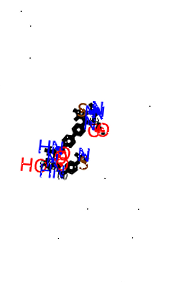 COC(=O)C[C@@H]1N=C(c2ccc(-c3ccc(C(=O)NC(C(=O)N4C[C@H](O)C[C@H]4C(=O)N[C@@H](C)c4ccc(-c5scnc5C)cc4)C(C)(C)C)cc3)cc2)c2c(sc(C)c2C)-n2c(C)nnc21